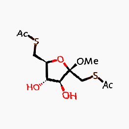 CO[C@]1(CSC(C)=O)O[C@H](CSC(C)=O)[C@@H](O)[C@@H]1O